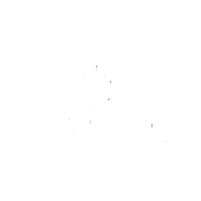 CCCCC(CC)CN(CC(CC)CCCC)C(=O)CC(C)(C)C